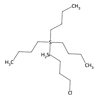 CCCCS(CCCC)(CCCC)[SiH2]CCCCl